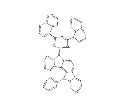 C1=CC2=CC=CC(C3=CC(c4cccc5ccccc45)=NC(n4c5ccccc5c5c6c(ccc54)c4ccccc4n6-c4ccccc4)N3)C2C=C1